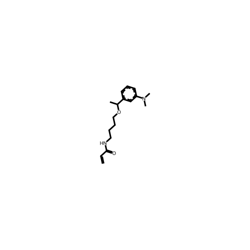 C=CC(=O)NCCCCOC(C)c1cccc(N(C)C)c1